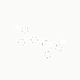 Cc1cccc(N(c2ccccc2)c2ccc(C3=CCC(C)(N(c4ccccc4)c4cccc(C)c4)C=C3)cc2)c1